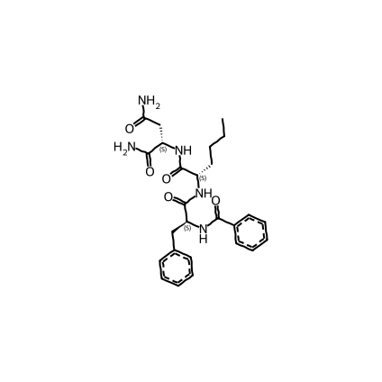 CCCC[C@H](NC(=O)[C@H](Cc1ccccc1)NC(=O)c1ccccc1)C(=O)N[C@@H](CC(N)=O)C(N)=O